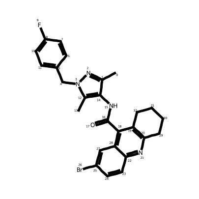 Cc1nn(Cc2ccc(F)cc2)c(C)c1NC(=O)c1c2c(nc3ccc(Br)cc13)CCCC2